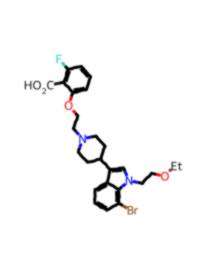 CCOCCn1cc(C2CCN(CCOc3cccc(F)c3C(=O)O)CC2)c2cccc(Br)c21